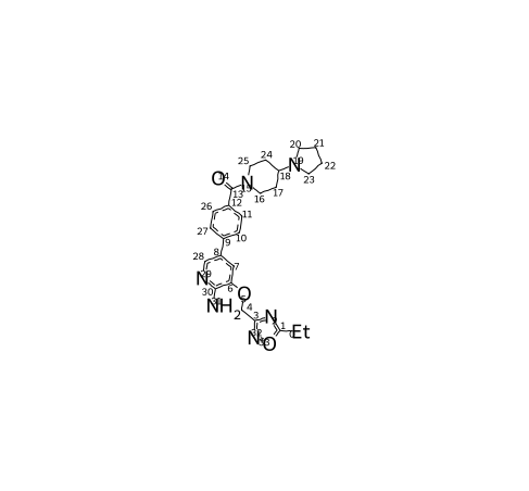 CCc1nc(COc2cc(-c3ccc(C(=O)N4CCC(N5CCCC5)CC4)cc3)cnc2N)no1